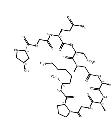 CCC[C@H](NC(=O)CN(C)C(=O)[C@H](CC(=O)O)NC(=O)[C@H](CCC(N)=O)NC(=O)CNC(=O)[C@@H]1C[C@@H](O)CN1)C(=O)N[C@@H](C)C(=O)NCC(=O)N1CCC[C@H]1C(=O)N[C@@H](CCCCCN)C(=O)O